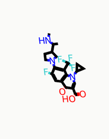 CNC(C)C1CCN(c2c(F)cc3c(=O)c(C(=O)O)cn(C4CC4)c3c2C(F)(F)F)C1